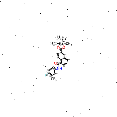 CC1(C)OB(c2ccc3c(C(=O)Nc4ccc(F)c(C(F)(F)F)c4)cccc3c2)OC1(C)C